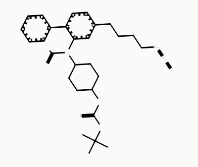 CC(C)(C)OC(=O)NC1CCC(N(C(=O)O)c2cc(CCCCN=[N+]=[N-])ccc2-c2ccccc2)CC1